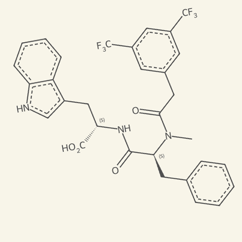 CN(C(=O)Cc1cc(C(F)(F)F)cc(C(F)(F)F)c1)[C@@H](Cc1ccccc1)C(=O)N[C@@H](Cc1c[nH]c2ccccc12)C(=O)O